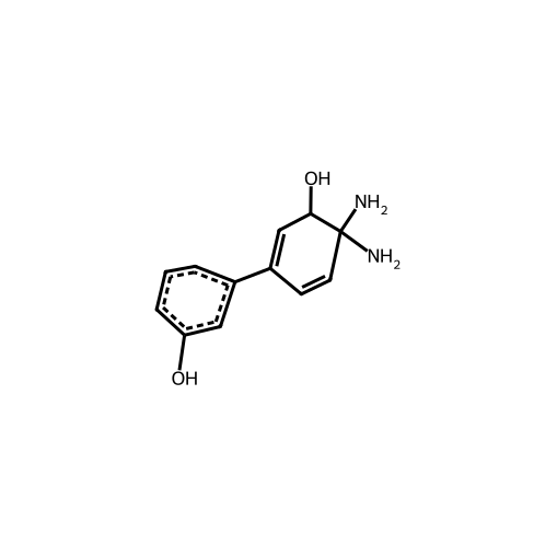 NC1(N)C=CC(c2cccc(O)c2)=CC1O